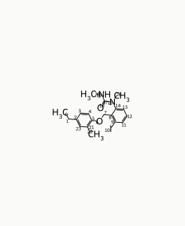 CCc1ccc(OCc2c(I)cccc2N(C)C(=O)NC)c(C)c1